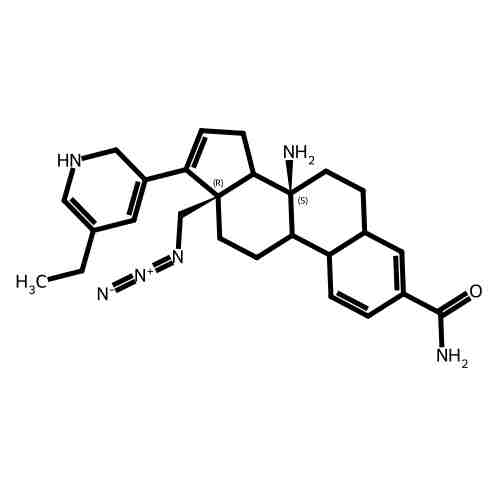 CCC1=CNCC(C2=CCC3[C@]2(CN=[N+]=[N-])CCC2C4C=CC(C(N)=O)=CC4CC[C@]23N)=C1